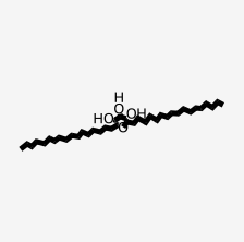 CCCCCCCCCCCCCCCCCCOCCCCCCCCCCCCCCCCCC.OCC(O)CO